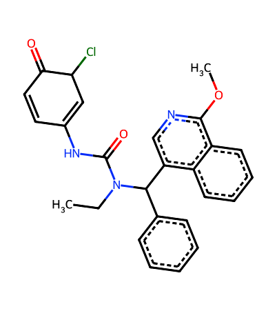 CCN(C(=O)NC1=CC(Cl)C(=O)C=C1)C(c1ccccc1)c1cnc(OC)c2ccccc12